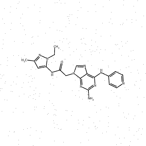 CCn1nc(C)cc1NC(=O)Cn1cnc2c(Nc3ccncc3)nc(N)nc21